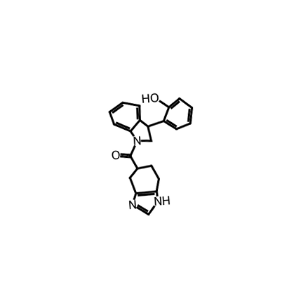 O=C(C1CCc2[nH]cnc2C1)N1CC(c2ccccc2O)c2ccccc21